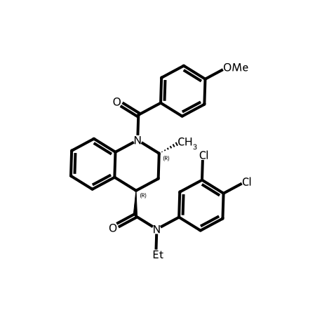 CCN(C(=O)[C@@H]1C[C@@H](C)N(C(=O)c2ccc(OC)cc2)c2ccccc21)c1ccc(Cl)c(Cl)c1